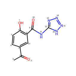 CC(=O)c1ccc(O)c(C(=O)Nc2nnn[nH]2)c1